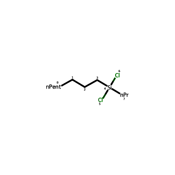 CCCCCCCC[Si](Cl)(Cl)CCC